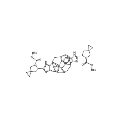 CC(C)(C)OC(=O)N1CC2(CC2)CC1c1nc2ccc(-c3cc4ccc3CCc3ccc(c(-c5ccc6[nH]c([C@@H]7CC8(CC8)CN7C(=O)OC(C)(C)C)nc6c5)c3)CC4)cc2[nH]1